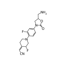 N#C/C=C1/CCN(c2ccc(N3CC(CN)OC3=O)cc2F)CC1F